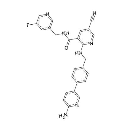 N#Cc1cnc(NCc2ccc(-c3ccc(N)nc3)cc2)c(C(=O)NCc2cncc(F)c2)c1